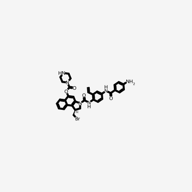 C=Cc1cc(NC(=O)c2ccc(N)cc2)ccc1NC(=O)N1C[C@@H](CBr)c2c1cc(OC(=O)N1CCNCC1)c1ccccc21